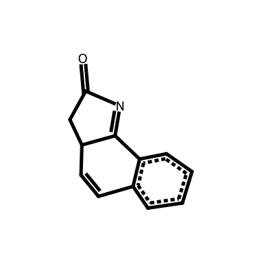 O=C1CC2C=Cc3ccccc3C2=N1